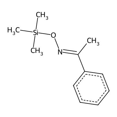 CC(=NO[Si](C)(C)C)c1ccccc1